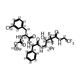 CC(C)[C@H](NC(=O)[C@@H](NC(=O)[C@H](Cc1cccc(Cl)c1)NC(=O)OC(C)(C)C)c1ccccc1)[C@@H](O)C(F)(F)C(=O)NCC(F)(F)F